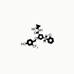 N#CC1(NC(=O)[C@@H]2C[C@@H](S(=O)(=O)c3ccccc3Cl)C[C@H]2OCc2ccc(O)cc2C(F)(F)F)CC1